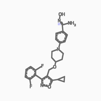 N/C(=N\O)c1ccc(N2CCC(OCc3c(-c4c(F)cccc4F)noc3C3CC3)CC2)cc1